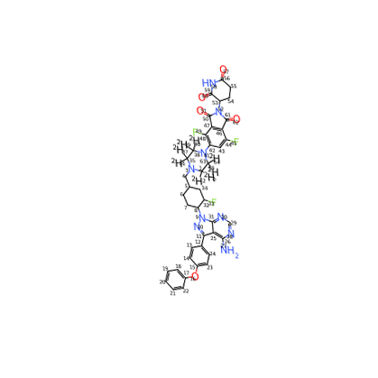 [2H]C1([2H])N(CC2CCC(n3nc(-c4ccc(Oc5ccccc5)cc4)c4c(N)ncnc43)C(F)C2)C([2H])([2H])C([2H])([2H])N(c2cc(F)c3c(c2F)C(=O)N(C2CCC(=O)NC2=O)C3=O)C1([2H])[2H]